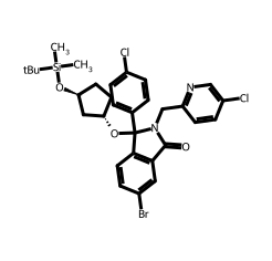 CC(C)(C)[Si](C)(C)O[C@H]1CC[C@H](OC2(c3ccc(Cl)cc3)c3ccc(Br)cc3C(=O)N2Cc2ccc(Cl)cn2)C1